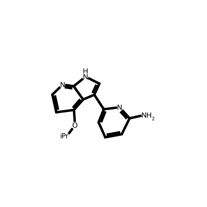 CC(C)Oc1ccnc2[nH]cc(-c3cccc(N)n3)c12